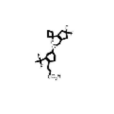 CC(F)(F)c1cc(OCC2=C(C3(F)CCC3)CC(F)(F)C2)ccc1CCC(=O)O